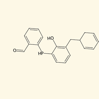 O=Cc1ccccc1Pc1cccc(CC2C=CC=CC2)c1O